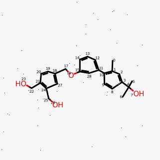 Cc1cc(C(C)(C)O)ccc1-c1cccc(OCc2ccc(CO)c(CO)c2)c1